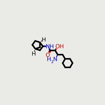 N[C@H](CC1CCCCC1)C(O)C(=O)NC1C[C@H]2CC[C@@H]1C2